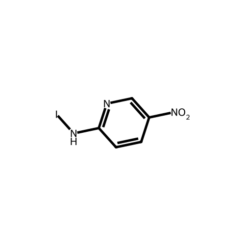 O=[N+]([O-])c1ccc(NI)nc1